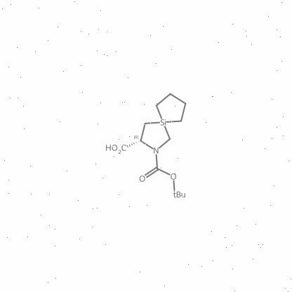 CC(C)(C)OC(=O)N1C[Si]2(CCCC2)C[C@H]1C(=O)O